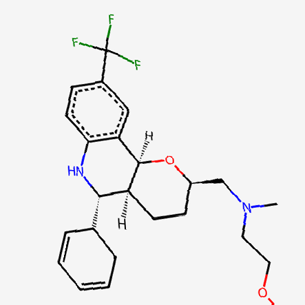 COCCN(C)C[C@H]1CC[C@@H]2[C@H](O1)c1cc(C(F)(F)F)ccc1N[C@H]2C1C=CC=CC1